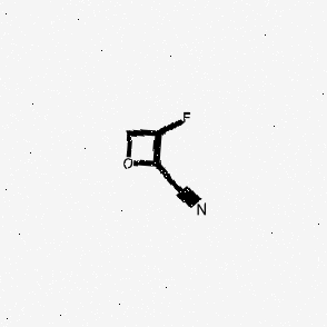 N#CC1OC[C]1F